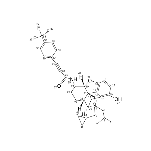 CC(C)C[N+]1(CC2CC2)CC[C@@]23c4c5ccc(O)c4C[C@@H]1[C@@H]2CC[C@H](NC(=O)C#Cc1ccc(C(F)(F)F)cc1)[C@@H]3O5